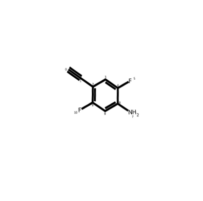 C#Cc1cc(F)c(N)cc1F